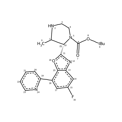 CC1NCCN(C(=O)OC(C)(C)C)[C@@H]1c1nc2cc(F)cc(-c3ccccn3)c2o1